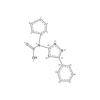 O=C(O)N(c1ccccc1)c1nnc(-c2ccccc2)s1